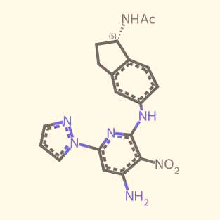 CC(=O)N[C@H]1CCc2cc(Nc3nc(-n4cccn4)cc(N)c3[N+](=O)[O-])ccc21